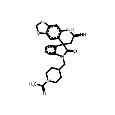 CC(=O)N1CCC(CN2C(=O)C3(CC(=N)Nc4cc5c(cc43)OCO5)c3ccccc32)CC1